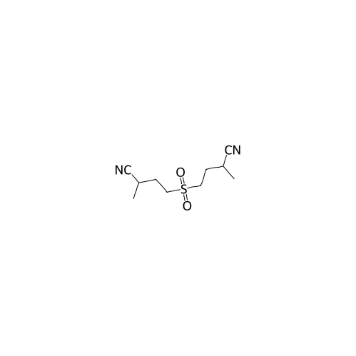 CC(C#N)CCS(=O)(=O)CCC(C)C#N